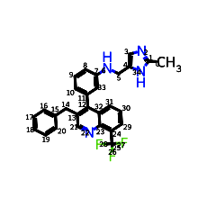 Cc1ncc(CNc2cccc(-c3c(Cc4ccccc4)cnc4c(C(F)(F)F)cccc34)c2)[nH]1